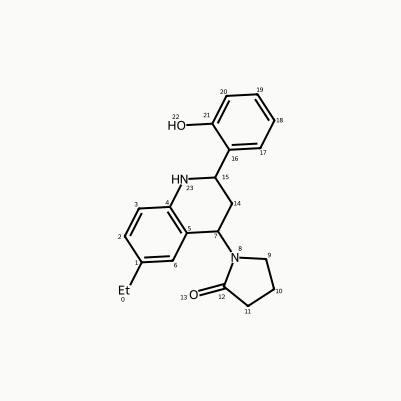 CCc1ccc2c(c1)C(N1CCCC1=O)CC(c1ccccc1O)N2